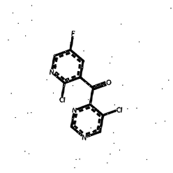 O=C(c1cc(F)cnc1Cl)c1ncncc1Cl